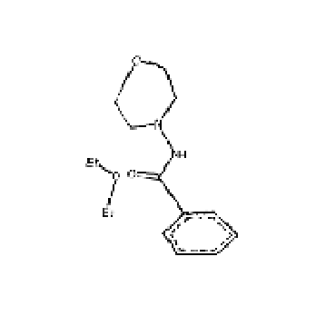 CCOCC.O=C(NN1CCOCC1)c1ccccc1